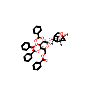 O=C(OCC1O[C@@H](O[C@@H]2C3CO[C@@H]4C[C@@H]4C2C3O)[C@@H](OC(=O)c2ccccc2)C(OC(=O)c2ccccc2)[C@@H]1OC(=O)c1ccccc1)c1ccccc1